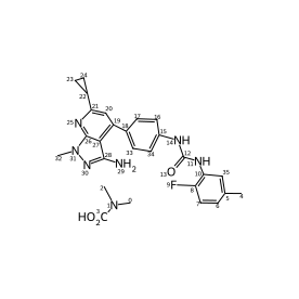 CN(C)C(=O)O.Cc1ccc(F)c(NC(=O)Nc2ccc(-c3cc(C4CC4)nc4c3c(N)nn4C)cc2)c1